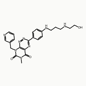 Cn1c(=O)c2nc(-c3ccc(NCCCNCCO)cc3)nnc2n(Cc2cccnc2)c1=O